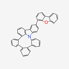 c1ccc2c(c1)oc1c(-c3ccc4c(c3)c3cccc5c6ccccc6c6ccccc6c6ccccc6n4c53)cccc12